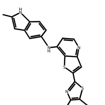 CCOC(=O)c1sc(-c2cc3nccc(Nc4ccc5[nH]c(C)cc5c4)c3s2)nc1C